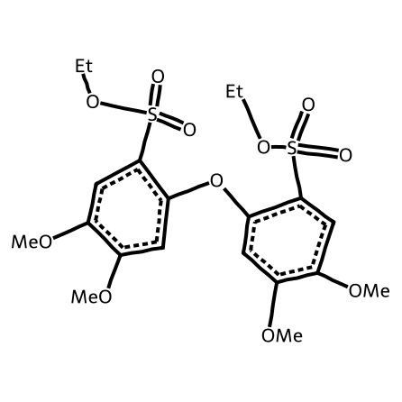 CCOS(=O)(=O)c1cc(OC)c(OC)cc1Oc1cc(OC)c(OC)cc1S(=O)(=O)OCC